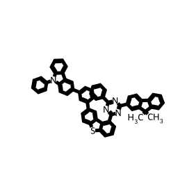 CC1(C)c2ccccc2-c2ccc(-c3nc(-c4ccccc4)nc(-c4cccc5sc6ccc(-c7cccc(-c8ccc9c(c8)c8ccccc8n9-c8ccccc8)c7)cc6c45)n3)cc21